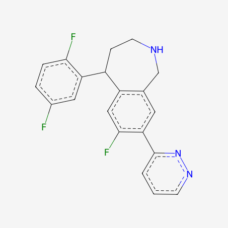 Fc1ccc(F)c(C2CCNCc3cc(-c4cccnn4)c(F)cc32)c1